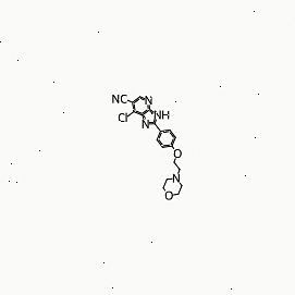 N#Cc1cnc2[nH]c(-c3ccc(OCCN4CCOCC4)cc3)nc2c1Cl